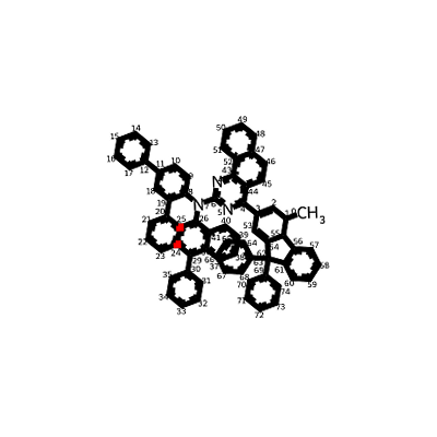 CC1C=C(c2nc(N(c3ccc(-c4ccccc4)cc3-c3ccccc3)c3ccc(-c4ccccc4)c4ccccc34)nc3c2ccc2ccccc23)C=C2C1c1ccccc1C2(c1ccccc1)c1ccccc1